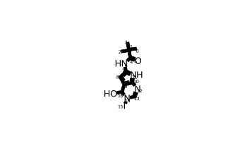 CC(C)(C)C(=O)Nc1cc2c([nH]1)N=CN(I)C2O